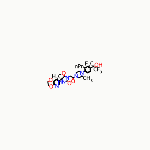 CCCc1cc(C(O)(C(F)(F)F)C(F)(F)F)ccc1N1CCN(C(=O)CN2C(=O)NC(C)(c3cnc4c(c3)OCCO4)C2=O)CC1C